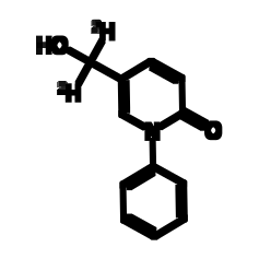 [2H]C([2H])(O)c1ccc(=O)n(-c2ccccc2)c1